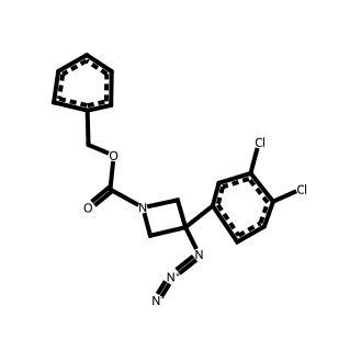 [N-]=[N+]=NC1(c2ccc(Cl)c(Cl)c2)CN(C(=O)OCc2ccccc2)C1